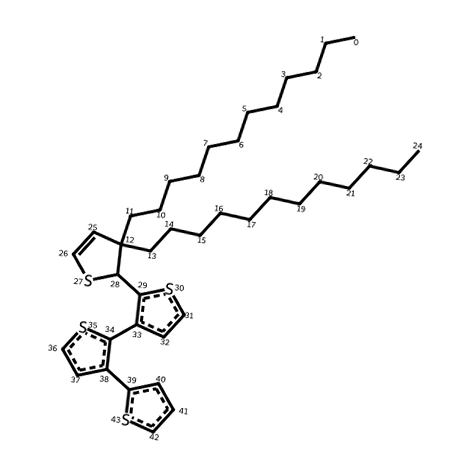 CCCCCCCCCCCCC1(CCCCCCCCCCCC)C=CSC1c1sccc1-c1sccc1-c1cccs1